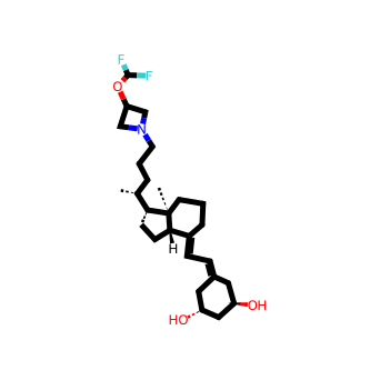 C[C@H](CCCN1CC(OC(F)F)C1)[C@H]1CC[C@H]2/C(=C/C=C3C[C@@H](O)C[C@H](O)C3)CCC[C@]12C